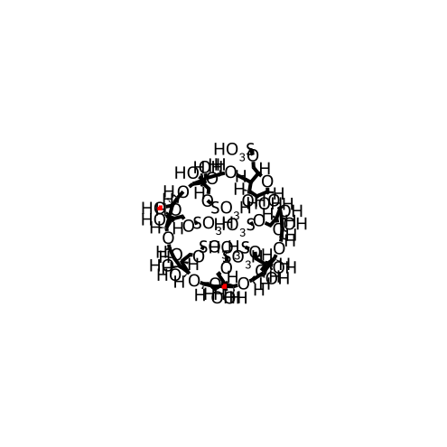 O=S(=O)(O)OC[C@H]1O[C@@H]2O[C@H]3[C@H](O)[C@@H](O)[C@@H](O[C@H]4[C@H](O)[C@@H](O)[C@@H](O[C@H]5[C@H](O)[C@@H](O)[C@@H](O[C@H]6[C@H](O)[C@@H](O)[C@@H](O[C@H]7[C@H](O)[C@@H](O)[C@@H](O[C@H]8[C@H](O)[C@@H](O)[C@@H](OC1[C@H](O)[C@H]2O)O[C@@H]8COS(=O)(=O)O)O[C@@H]7COS(=O)(=O)O)O[C@@H]6COS(=O)(=O)O)O[C@@H]5COS(=O)(=O)O)O[C@@H]4COS(=O)(=O)O)O[C@@H]3COS(=O)(=O)O